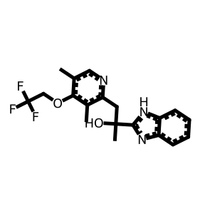 Cc1cnc(CC(C)(O)c2nc3ccccc3[nH]2)c(C)c1OCC(F)(F)F